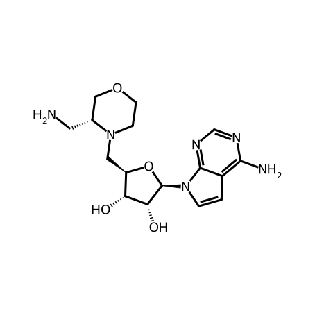 NC[C@@H]1COCCN1C[C@H]1O[C@@H](n2ccc3c(N)ncnc32)[C@H](O)[C@@H]1O